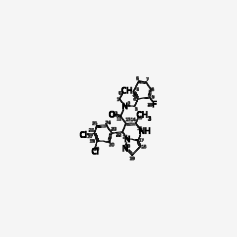 CCN(Cc1ccccc1F)C(=O)C1=C(C)Nc2ccnn2C1c1ccc(Cl)c(Cl)c1